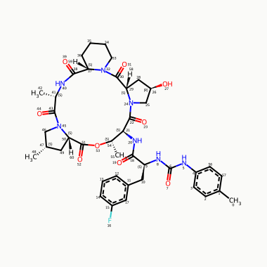 Cc1ccc(NC(=O)N[C@@H](Cc2cccc(F)c2)C(=O)N[C@@H]2C(=O)N3C[C@H](O)C[C@H]3C(=O)N3CCCC[C@H]3C(=O)N[C@@H](C)C(=O)N3C[C@@H](C)C[C@H]3C(=O)O[C@H]2C)cc1